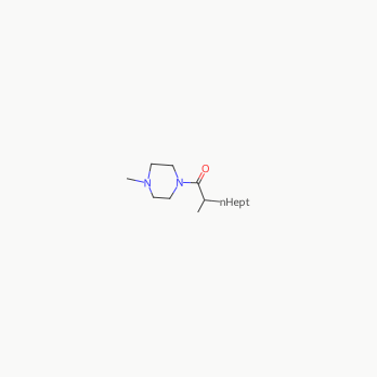 CCCCCCCC(C)C(=O)N1CCN(C)CC1